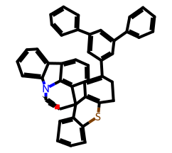 C1=C(c2cc(-c3ccccc3)cc(-c3ccccc3)c2)CCC2=C1C1(c3ccccc3S2)c2ccccc2-n2c3ccccc3c3cccc1c32